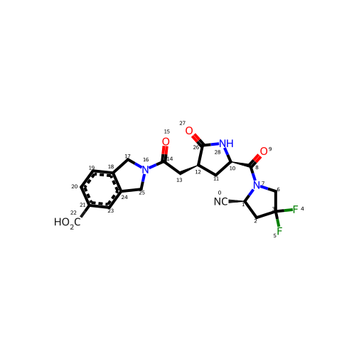 N#C[C@@H]1CC(F)(F)CN1C(=O)[C@H]1C[C@@H](CC(=O)N2Cc3ccc(C(=O)O)cc3C2)C(=O)N1